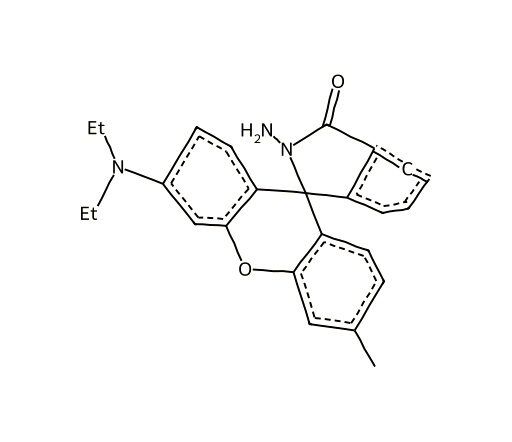 CCN(CC)c1ccc2c(c1)Oc1cc(C)ccc1C21c2ccccc2C(=O)N1N